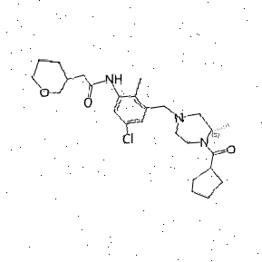 Cc1c(CN2CCN(C(=O)C3CCCC3)[C@@H](C)C2)cc(Cl)cc1NC(=O)CC1CCCOC1